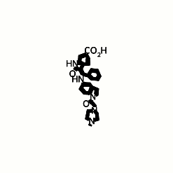 CN1CCN(CC(=O)n2ccc3cc(NC(=C4C(=O)Nc5cc(C(=O)O)ccc54)c4ccccc4)ccc32)CC1